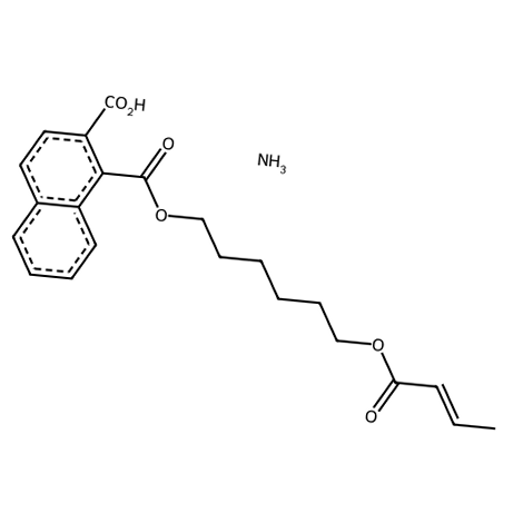 CC=CC(=O)OCCCCCCOC(=O)c1c(C(=O)O)ccc2ccccc12.N